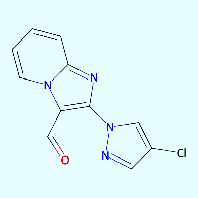 O=Cc1c(-n2cc(Cl)cn2)nc2ccccn12